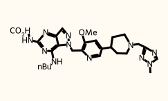 CCCCNc1nc(NC(=O)O)nc2cnn(Cc3ncc(C4CCN(Cc5ncn(C)n5)CC4)cc3OC)c12